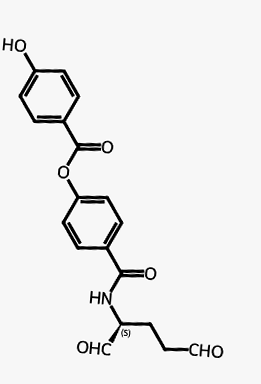 O=CCC[C@@H](C=O)NC(=O)c1ccc(OC(=O)c2ccc(O)cc2)cc1